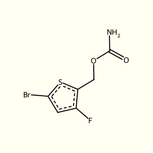 NC(=O)OCc1sc(Br)cc1F